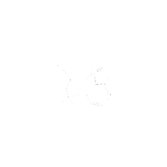 C[N+](C)(C)CCO.Cc1ccccc1S(=O)(=O)O